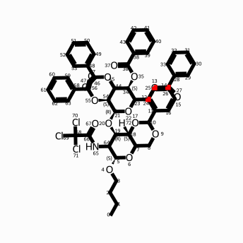 CCCCO[C@H]1OC2COC(c3ccccc3)O[C@H]2[C@H](O[C@@H]2OC(COC(=O)c3ccccc3)[C@H](OC(=O)c3ccccc3)C(OC(=O)c3ccccc3)[C@@H]2OC(=O)c2ccccc2)C1NC(=O)C(Cl)(Cl)Cl